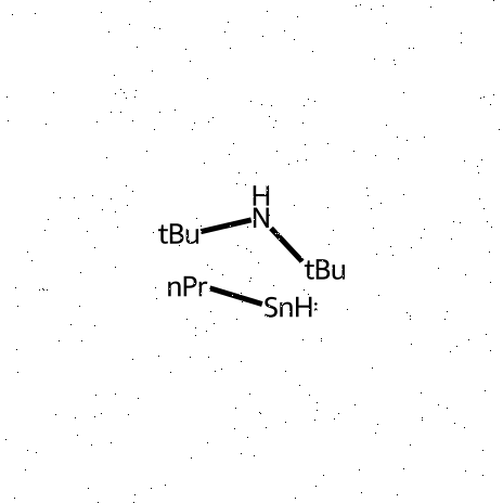 CC(C)(C)NC(C)(C)C.CC[CH2][SnH]